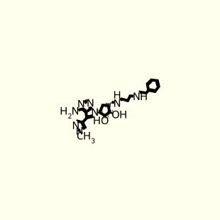 Cn1cc(-c2cn([C@@H]3C[C@H](CNCCCNCCc4ccccc4)[C@@H](O)[C@H]3O)c3ncnc(N)c23)cn1